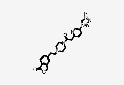 O=C1OCc2cc(CCN3CCN(C(=O)Cc4ccc(N5CNN=N5)cn4)CC3)ccc21